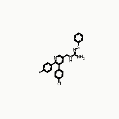 N/C(=N\Sc1ccccc1)NCc1cnc(-c2ccc(F)cc2)c(-c2ccc(Cl)cc2)c1